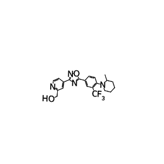 CC1CCCCN1c1ccc(-c2nc(-c3ccnc(CO)c3)no2)cc1C(F)(F)F